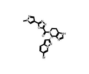 Cn1cc(-c2nnc(C(=O)N3CCc4[nH]cnc4[C@@H]3c3cc4ccc(Br)cn4n3)o2)cn1